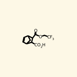 O=C(O)C1C2C=CC(C2)C1C(=O)OCC(F)(F)F